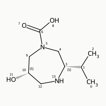 CC(C)[C@H]1CN(C(=O)O)C[C@@H](O)CN1